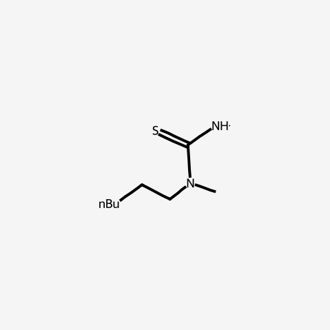 CCCCCCN(C)C([NH])=S